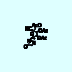 CC(=O)OC[C@@]1(C#N)O[C@@H]([C+]2N=CC([O-])=N2)[C@H](OC(C)=O)[C@@H]1OC(C)=O